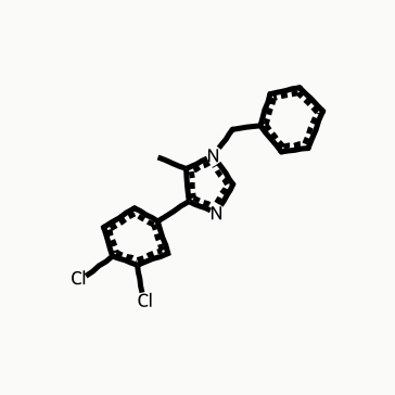 Cc1c(-c2ccc(Cl)c(Cl)c2)ncn1Cc1ccccc1